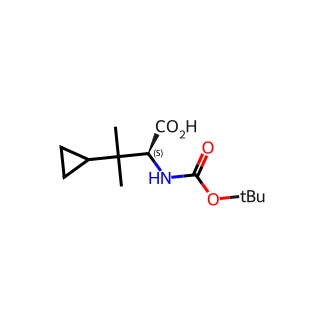 CC(C)(C)OC(=O)N[C@H](C(=O)O)C(C)(C)C1CC1